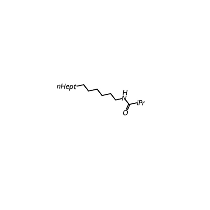 CCCCCCCCCCCCCNC(=O)C(C)C